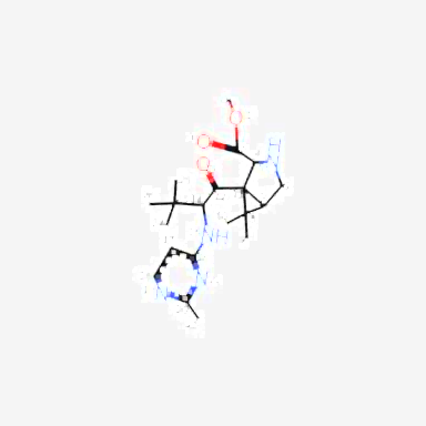 COC(=O)C1NCC2C(C)(C)C12C(=O)C(Nc1ccnc(C)n1)C(C)(C)C